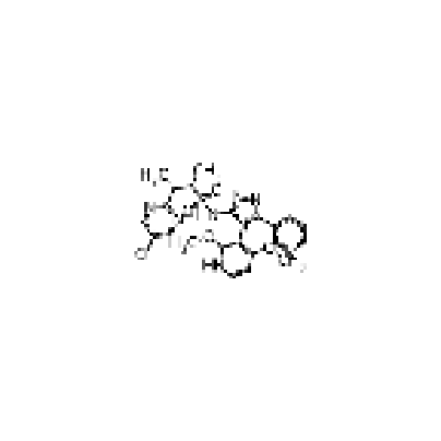 COC1=C(n2c(NS(=O)(=O)[C@H](C)[C@@H](C)c3ncc(Cl)cn3)nnc2-c2cccnc2)C(OC)NC=C1